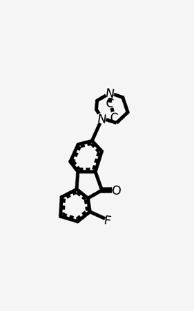 O=C1c2cc(N3CCN4CCC3CC4)ccc2-c2cccc(F)c21